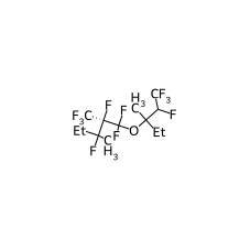 CCC(C)(OC(F)(F)[C@@](F)(C(F)(F)F)C(C)(F)CC)C(F)C(F)(F)F